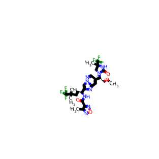 COC[C@H](c1cnn2cc([C@H](CCC(C)(C)C(F)(F)F)NC(=O)c3nonc3C)nc2c1)N1CC(C)(C(F)(F)F)NC1=O